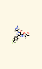 CCC(C)(O)C(C)NC(=O)c1cc(-c2ccc(C(F)(F)F)cc2)nn(-c2cnn(C)c2)c1=O